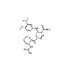 COc1ccc(Nc2cc(N[C@@H]3CCCC[C@@H]3NC(=O)O)nnc2C(N)=O)nc1C(C)C